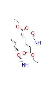 C=CC=C.CCOC(=O)CCCCC(=O)OCC.N=C=O.N=C=O